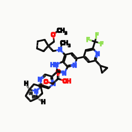 COCC1(CN(C)c2cc(-c3cc(C4CC4)nc(C(F)(F)F)c3)nc3nc(-c4cnc(N5[C@@H]6CC[C@H]5C[C@H](OCC(=O)O)C6)cn4)[nH]c23)CCCC1